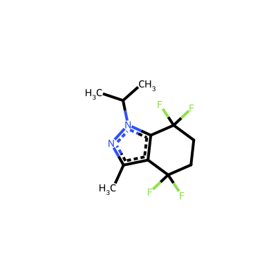 Cc1nn(C(C)C)c2c1C(F)(F)CCC2(F)F